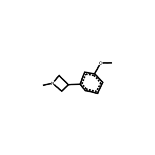 COc1cccc(C2CN(C)C2)c1